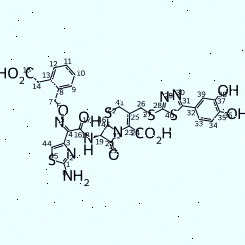 Nc1nc(/C(=N/OCc2ccccc2CC(=O)O)C(=O)N[C@@H]2C(=O)N3C(C(=O)O)=C(CSc4nnc(-c5ccc(O)c(O)c5)s4)CS[C@H]23)cs1